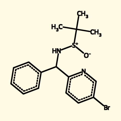 CC(C)(C)[S+]([O-])NC(c1ccccc1)c1ccc(Br)cn1